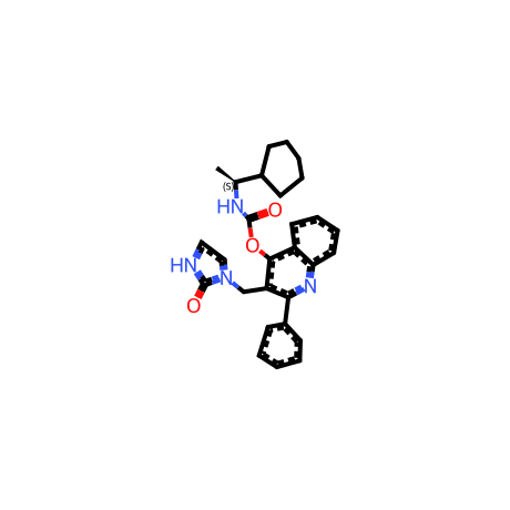 C[C@H](NC(=O)Oc1c(Cn2cc[nH]c2=O)c(-c2ccccc2)nc2ccccc12)C1CCCCC1